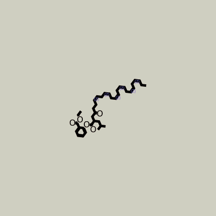 CC/C=C\C/C=C\C/C=C\C/C=C\C/C=C\C/C=C\CCC(=O)CC(CC(C)C)C(=O)Oc1ccccc1C(=O)OCC